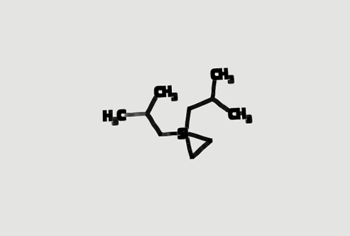 CC(C)C[Si]1(CC(C)C)CC1